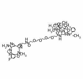 CC[C@H](NC(=O)[C@H]1C[C@@H](NC(=O)CCOCCOCCOCCOCCC(=O)NCCn2cc3c(n2)CN(C)C(=O)c2ccc(F)cc2[C@H]2CCCN2c2cc-3cnc2N)CN1C(=O)C(NC(=O)[C@@H](C)NC)C(C)(C)C)c1ccccc1